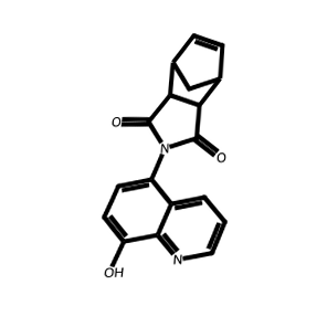 O=C1C2C3C=CC(C3)C2C(=O)N1c1ccc(O)c2ncccc12